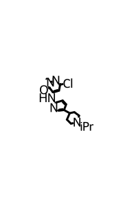 CC(C)N1CCC(c2ccc(Nc3cc(Cl)nn(C)c3=O)nc2)CC1